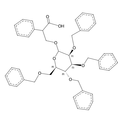 O=C(O)C(COC1O[C@H](COCc2ccccc2)[C@@H](OCc2ccccc2)[C@H](OCc2ccccc2)[C@@H]1OCc1ccccc1)c1ccccc1